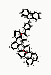 c1ccc(-c2ccccc2N(c2ccc(-c3ccc(-n4c5ccccc5c5ccccc54)cc3)cc2)c2ccc(-c3cccc4cccc(-c5ccccc5)c34)cc2)cc1